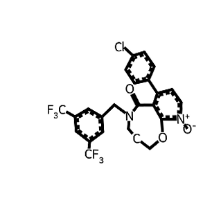 O=C1c2c(-c3ccc(Cl)cc3)cc[n+]([O-])c2OCCCN1Cc1cc(C(F)(F)F)cc(C(F)(F)F)c1